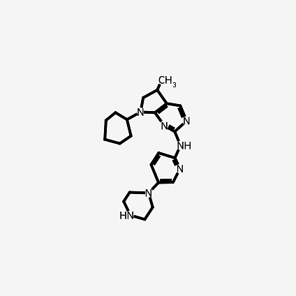 CC1CN(C2CCCCC2)c2nc(Nc3ccc(N4CCNCC4)cn3)ncc21